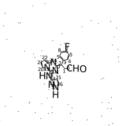 O=CCC(c1ccc(F)cc1)c1nc(Nc2cc[nH]n2)n2cccc2n1